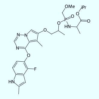 COCP(=O)(NC(C)C(=O)OC(C)C)OC(C)COc1cn2ncnc(Oc3ccc4[nH]c(C)cc4c3F)c2c1C